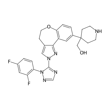 OCC1(c2ccc3c(c2)-c2nn(-c4ncnn4-c4ccc(F)cc4F)cc2CCO3)CCNCC1